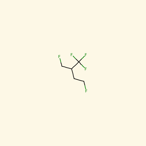 FCCC(CF)C(F)(F)F